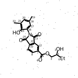 CCC(O)COC(=O)c1ccc2c(c1)C(=O)N(c1cc(C)cc(C)c1O)C2=O